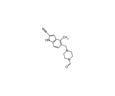 Cc1c(CN2CCN(C=O)CC2)ccc2[nH]c(C#N)cc12